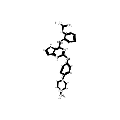 CC(C)Sc1ccccc1Nc1nc(Nc2ccc(N3CCN(C)CC3)cc2)nc2ccsc12